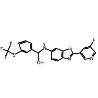 CN(c1ccc2nc(-c3cncc(F)c3)sc2c1)C(O)c1cccc(SC(F)(F)F)c1